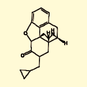 O=C1C(CC2CC2)C[C@H]2[C@H]3Cc4cccc5c4[C@@]2(CCN3)C1O5